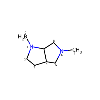 BN1CCC2CN(C)CC21